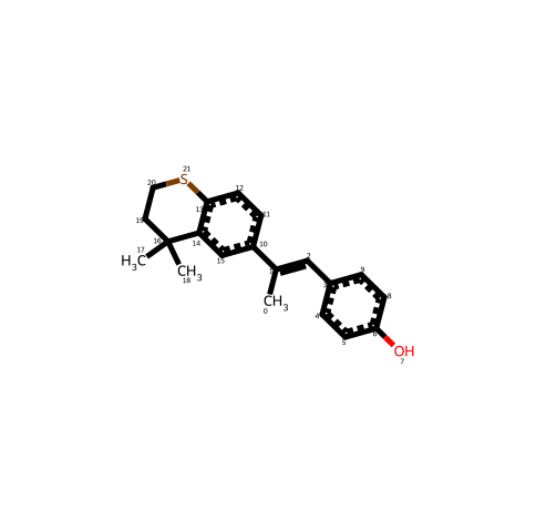 C/C(=C\c1ccc(O)cc1)c1ccc2c(c1)C(C)(C)CCS2